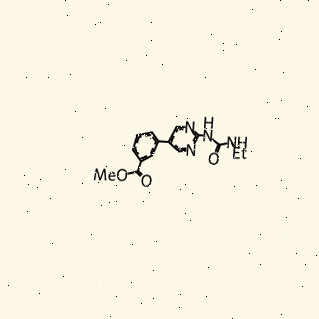 CCNC(=O)Nc1ncc(-c2cccc(C(=O)OC)c2)cn1